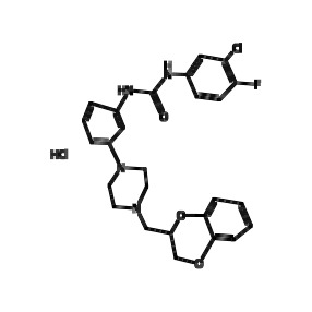 Cl.O=C(Nc1cccc(N2CCN(CC3COc4ccccc4O3)CC2)c1)Nc1ccc(F)c(Cl)c1